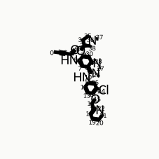 CC#CC(=O)Nc1cc2c(Nc3ccc(OCc4ccccn4)c(Cl)c3)ncnc2cc1OC1CCN(C)C1